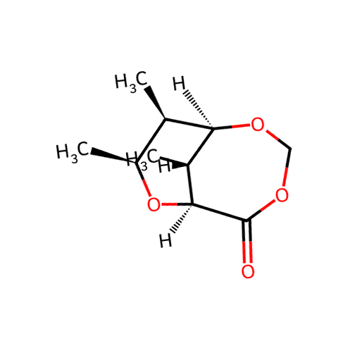 C[C@@H]1[C@@H]2OCOC(=O)[C@H]1O[C@@H](C)[C@H]2C